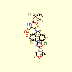 CC(C)(C)OC(=O)N[C@H]1CS(=O)(=O)c2cc(F)c(-c3noc(N4CCOC5CC54)n3)cc2N(Cc2ccc(Cl)cc2)C1=O